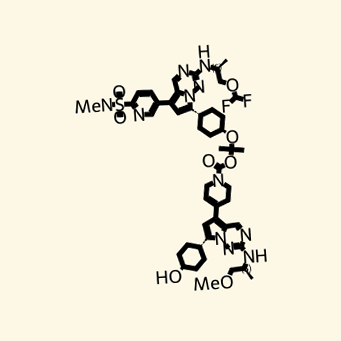 CNS(=O)(=O)c1ccc(-c2cc([C@H]3CC[C@H](OC(C)(C)OC(=O)N4CC=C(c5cc([C@H]6CC[C@H](O)CC6)n6nc(N[C@@H](C)COC)ncc56)CC4)CC3)n3nc(N[C@@H](C)COC(F)F)ncc23)cn1